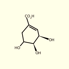 O=C(O)C1=C[C@@H](O)[C@@H](O)C(O)C1